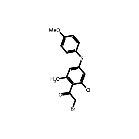 COc1ccc(Sc2cc(C)c(C(=O)CBr)c(Cl)c2)cc1